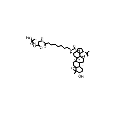 C=C(C)[C@@H]1CC[C@]2(C(=O)NCCCCCCCC(=O)N[C@@H](CC(=O)O)C(=O)O)CC[C@]3(C)[C@H](CCC4[C@@]5(C)CC[C@H](O)C(C)(C)[C@@H]5CC[C@]43C)[C@@H]12